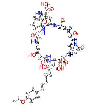 CCOc1ccc(/C=C/C=C/C[C@H](O)[C@@H](O)[C@H]2NC(=O)C[C@@H](O)CNC(=O)CNC(=O)[C@@H](Cc3c(C(=O)O)[nH]c4ccccc34)NC(=O)CN(C)C(=O)/C=C3\NC(=O)C[C@H]3NC(=O)[C@H]2O)cc1